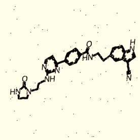 N#Cc1c[nH]c2ccc(CCNC(=O)c3ccc(-c4ccnc(NCCN5CCNC5=O)n4)cc3)cc12